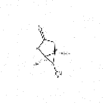 N#CC1[C@H]2CC(=O)C[C@@H]12